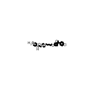 CN1CCC(NC(=O)CN2CCN(CCCCCOc3ccc4c(-c5ccc(Cl)cc5)coc4c3)CC2)CC1